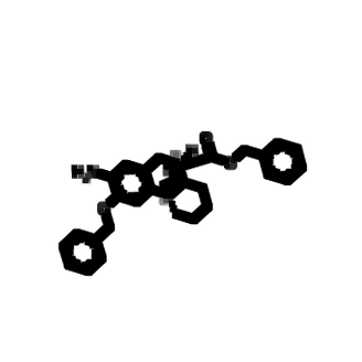 Nc1cc2c(cc1OCc1ccccc1)[C@]13CCCCC1[C@H](C2)N(C(=O)OCc1ccccc1)CC3